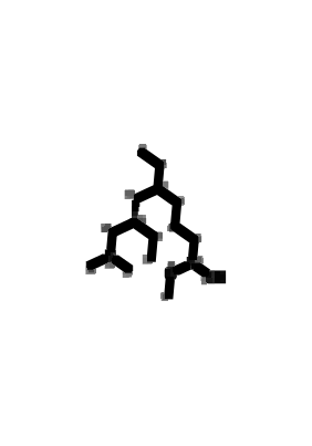 CCC(CCCN(O)OC)C[C@H](CC)CN(C)C